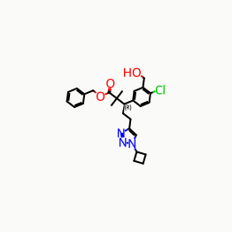 CC(C)(C(=O)OCc1ccccc1)[C@H](CCc1cn(C2CCC2)nn1)c1ccc(Cl)c(CO)c1